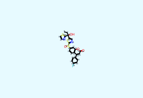 CCC(O)(c1cnc([S+]([O-])c2ccc3c(-c4ccc(F)cc4)cc(=O)oc3c2)s1)c1nccs1